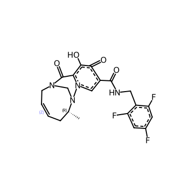 C[C@@H]1C/C=C\CN2CN1n1cc(C(=O)NCc3c(F)cc(F)cc3F)c(=O)c(O)c1C2=O